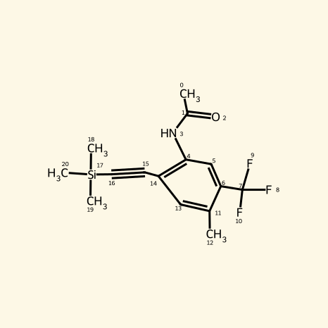 CC(=O)Nc1cc(C(F)(F)F)c(C)cc1C#C[Si](C)(C)C